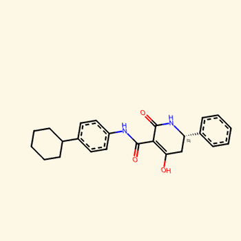 O=C(Nc1ccc(C2CCCCC2)cc1)C1=C(O)C[C@@H](c2ccccc2)NC1=O